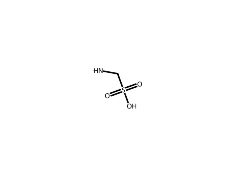 [NH]CS(=O)(=O)O